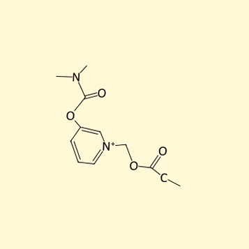 CCC(=O)OC[n+]1cccc(OC(=O)N(C)C)c1